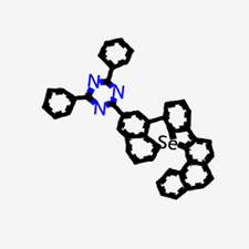 c1ccc(-c2nc(-c3ccccc3)nc(-c3cc(-c4cccc5c4[se]c4c5ccc5ccc6ccccc6c54)c4ccccc4c3)n2)cc1